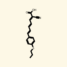 CCCSc1ccc(/C=C/C=C/C=C(\C#N)C(=O)O)cc1